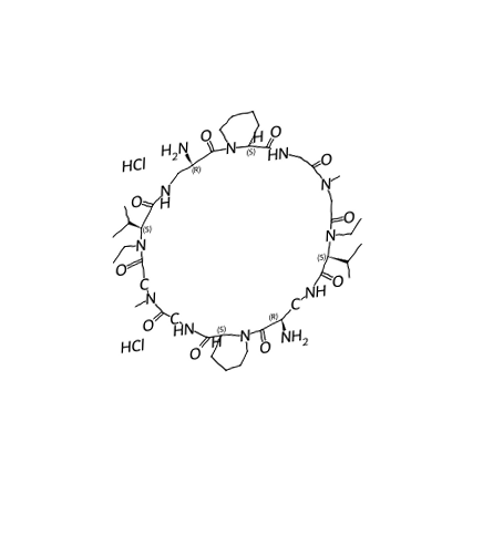 CCN1C(=O)CN(C)C(=O)CNC(=O)[C@@H]2CCCCN2C(=O)[C@H](N)CNC(=O)[C@H](C(C)C)N(CC)C(=O)CN(C)C(=O)CNC(=O)[C@@H]2CCCCN2C(=O)[C@H](N)CNC(=O)[C@@H]1C(C)C.Cl.Cl